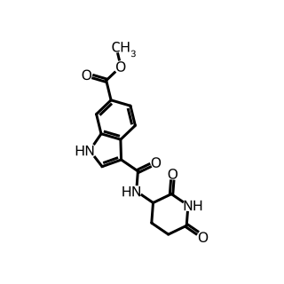 COC(=O)c1ccc2c(C(=O)NC3CCC(=O)NC3=O)c[nH]c2c1